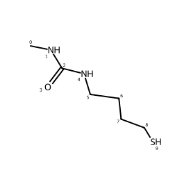 CNC(=O)NCCCCS